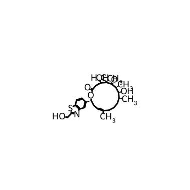 C/C1=C/C[C@@H](c2ccc3sc(CO)nc3c2)OC(=O)C[C@H](O)C(C)(C)C(=O)[C@H](C)[C@@H](O)[C@@H](C)CCC1